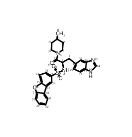 CC1CCN(C(=O)C(Cc2ccc3[nH]cnc3c2)NS(=O)(=O)c2ccc3oc4ccccc4c3c2)CC1